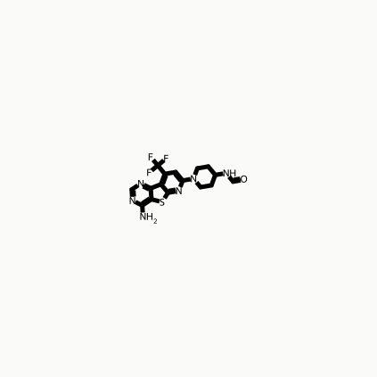 Nc1ncnc2c1sc1nc(N3CCC(NC=O)CC3)cc(C(F)(F)F)c12